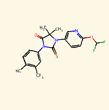 CC1(C)C(=O)N(c2ccc(C#N)c(C(F)(F)F)c2)C(=S)N1c1ccc(OC(F)F)nc1